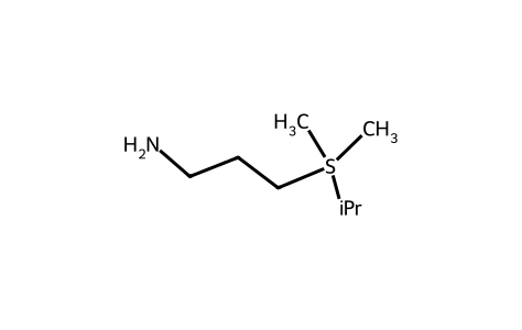 CC(C)S(C)(C)CCCN